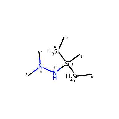 C[SiH2][Si](C)(NN(C)C)[SiH2]C